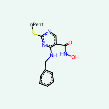 CCCCCSc1ncc(C(=O)NO)c(NCc2ccccc2)n1